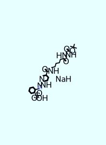 CC(C)(C)OC(=O)NNC(=O)CCCCCNC(=O)c1ccc(N/N=C/c2ccccc2S(=O)(=O)O)nc1.[NaH]